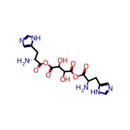 N[C@H](Cc1cnc[nH]1)C(=O)OC(=O)C(O)C(O)C(=O)OC(=O)[C@H](N)Cc1cnc[nH]1